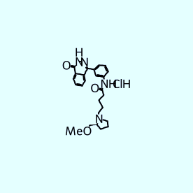 COC[C@@H]1CCCN1CCCCC(=O)Nc1cccc(-c2n[nH]c(=O)c3ccccc23)c1.Cl